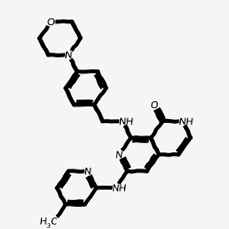 Cc1ccnc(Nc2cc3cc[nH]c(=O)c3c(NCc3ccc(N4CCOCC4)cc3)n2)c1